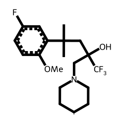 COc1ccc(F)cc1C(C)(C)CC(O)(CN1CC[CH]CC1)C(F)(F)F